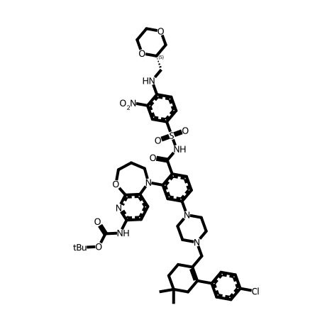 CC1(C)CCC(CN2CCN(c3ccc(C(=O)NS(=O)(=O)c4ccc(NC[C@H]5COCCO5)c([N+](=O)[O-])c4)c(N4CCCOc5nc(NC(=O)OC(C)(C)C)ccc54)c3)CC2)=C(c2ccc(Cl)cc2)C1